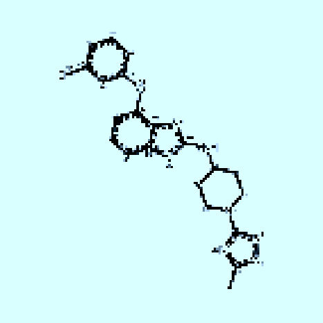 Cc1nsc(N2CCC(Nc3nc4c(Oc5cccc(Cl)c5)cccn4n3)CC2)n1